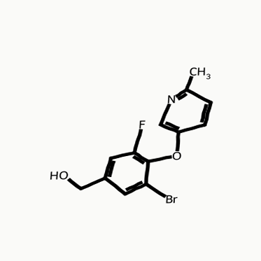 Cc1ccc(Oc2c(F)cc(CO)cc2Br)cn1